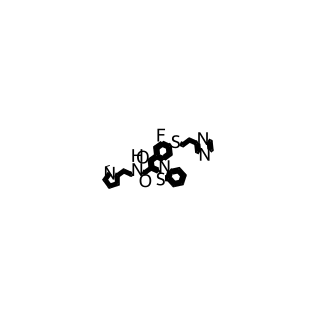 CN1CCCC1CCNC(=O)c1c(=O)c2cc(F)c(SCCc3cnccn3)cc2n2c1sc1ccccc12